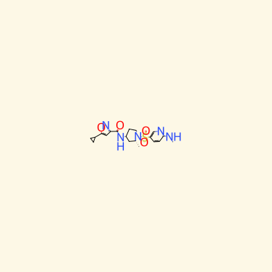 CNc1ccc(S(=O)(=O)N2CC[C@@H](NC(=O)c3cc(C4CC4)on3)C[C@H]2C)cn1